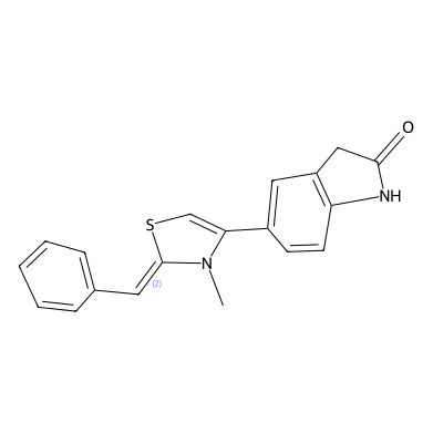 CN1C(c2ccc3c(c2)CC(=O)N3)=CS/C1=C\c1ccccc1